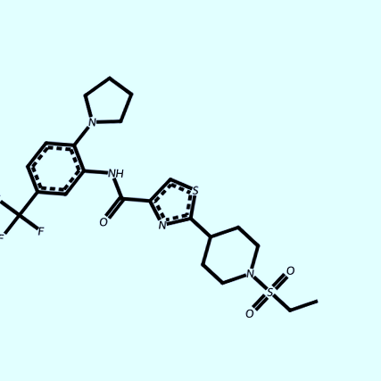 CCS(=O)(=O)N1CCC(c2nc(C(=O)Nc3cc(C(F)(F)F)ccc3N3CCCC3)cs2)CC1